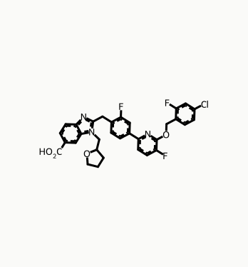 O=C(O)c1ccc2nc(Cc3ccc(-c4ccc(F)c(OCc5ccc(Cl)cc5F)n4)cc3F)n(CC3CCCO3)c2c1